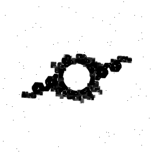 COc1cccc(Cc2ccc(C[C@H]3OC(=O)[C@H](CC(C)C)N(C)C(=O)[C@@H](C)OC(=O)[C@H](CC(C)C)N(C)C(=O)[C@@H](Cc4ccc(Cc5cccc(OC)n5)cc4)OC(=O)[C@H](CC(C)C)N(C)C(=O)[C@@H](C)OC(=O)[C@H](CC(C)C)N(C)C3=O)cc2)n1